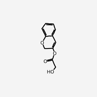 O=C(CO)OC1=Cc2ccccc2OC1